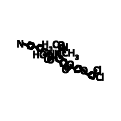 Cc1noc(C)c1CN1Cc2cc3c(cc2C[C@H]1C(=O)N[C@@H](Cc1ccc(-c2ccc(C#N)cc2)cc1)C(=O)O)OCC(c1ccc(OCc2ccc(Cl)c(Cl)c2)cc1)O3